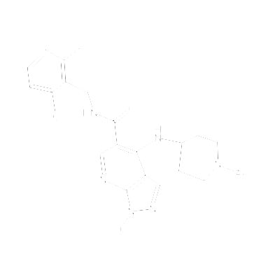 CCn1ncc2c(NC3CCN(C(C)=O)CC3)c(C(=O)NCc3c(F)cccc3Cl)cnc21